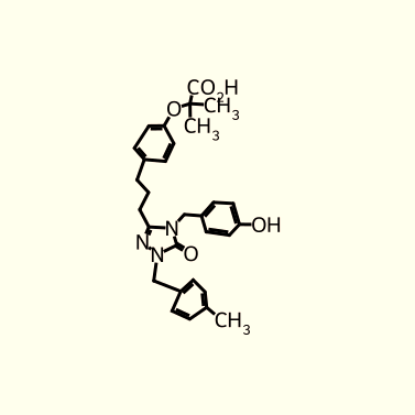 Cc1ccc(Cn2nc(CCCc3ccc(OC(C)(C)C(=O)O)cc3)n(Cc3ccc(O)cc3)c2=O)cc1